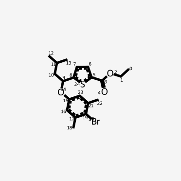 CCOC(=O)c1ccc(C(CC(C)C)Oc2cc(C)c(Br)c(C)c2)s1